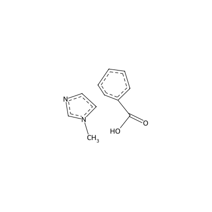 Cn1ccnc1.O=C(O)c1ccccc1